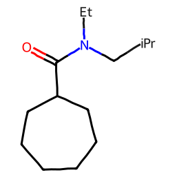 CCN(CC(C)C)C(=O)C1CCCCCC1